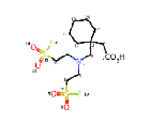 O=C(O)CC1(CN(CCS(=O)(=O)F)CCS(=O)(=O)F)CCCCC1